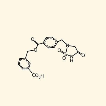 O=C1CN(Cc2ccc(C(=O)OCc3cccc(C(=O)O)c3)cc2)S(=O)(=O)N1